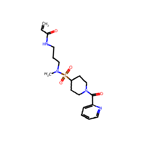 C=CC(=O)NCCCN(C)S(=O)(=O)C1CCN(C(=O)c2ccccn2)CC1